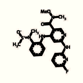 CON(C)C(=O)c1cnc(Nc2cccc(F)n2)cc1Nc1ccccc1N(C)[S+](C)[O-]